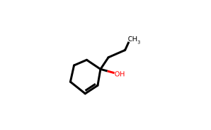 CCCC1(O)C=CCCC1